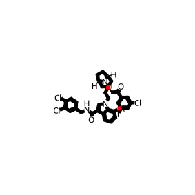 CCc1cccc2c(C(=O)NCc3ccc(Cl)c(Cl)c3)cn(CCCN3[C@@H]4CC[C@H]3C[C@@H](CC(=O)c3cc(Cl)cc(Cl)c3)C4)c12